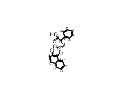 O=C(O)C(/N=[P+](\[O-])Oc1c(Cl)ccc2ccccc12)c1ccccc1